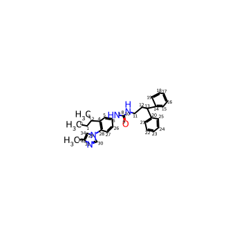 CC[C@H](C)c1cc(NC(=O)NCCC(c2ccccc2)c2ccccc2)ccc1-n1cnc(C)c1